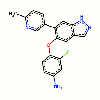 Cc1ccc(-c2cc3[nH]ncc3cc2Oc2ccc(N)cc2F)cn1